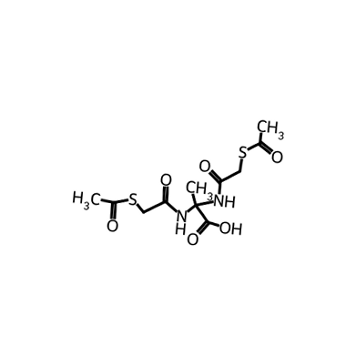 CC(=O)SCC(=O)NC(C)(NC(=O)CSC(C)=O)C(=O)O